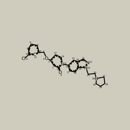 O=c1cc(OCc2cccc(Cl)c2)ccn1-c1ccc2c(cnn2CCN2CCCC2)c1